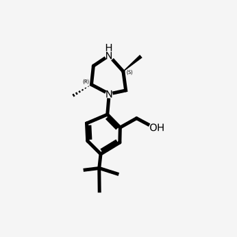 C[C@@H]1CN[C@@H](C)CN1c1ccc(C(C)(C)C)cc1CO